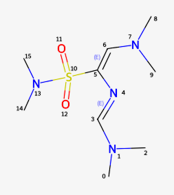 CN(C)/C=N/C(=C\N(C)C)S(=O)(=O)N(C)C